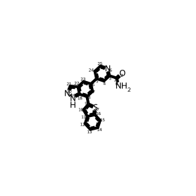 NC(=O)c1cc(-c2cc(-c3cc4ccccc4s3)c3[nH]ncc3c2)ccn1